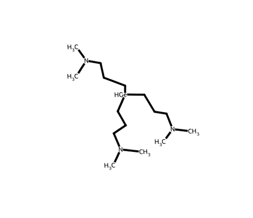 CN(C)CC[CH2][GeH]([CH2]CCN(C)C)[CH2]CCN(C)C